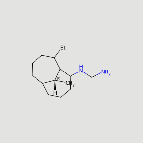 CCC1CCCC2CCCC(NCN)C1[C@@H]2C